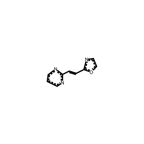 C(=C\c1ncco1)/c1ncccn1